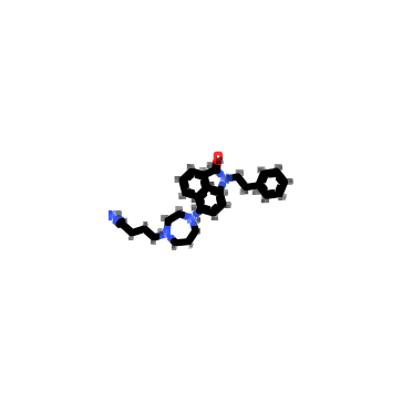 N#CCCCN1CCCN(c2ccc3c4c(cccc24)C(=O)N3CCc2ccccc2)CC1